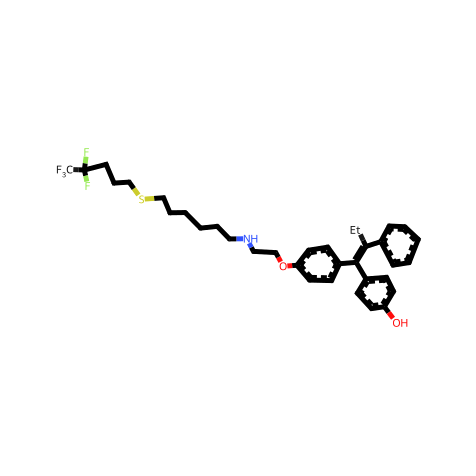 CCC(=C(c1ccc(O)cc1)c1ccc(OCCNCCCCCCSCCCC(F)(F)C(F)(F)F)cc1)c1ccccc1